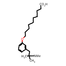 CNC(C)(C)Cc1cccc(OCCCCCCCCCC(=O)O)c1